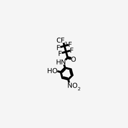 O=C(Nc1ccc([N+](=O)[O-])cc1O)C(F)(F)C(F)(F)C(F)(F)F